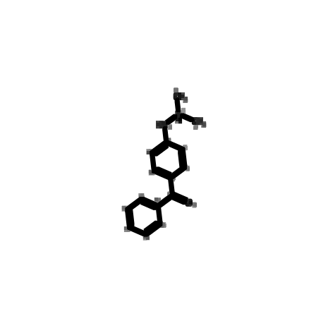 C[SiH](C)Nc1ccc(C(=O)c2ccccc2)cc1